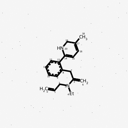 C=CCN(CC)C(=C)Cc1ccccc1C1=CC=C(C)CN1